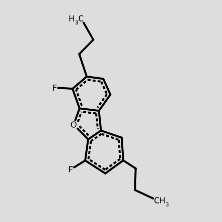 CCCc1cc(F)c2oc3c(F)c(CCC)ccc3c2c1